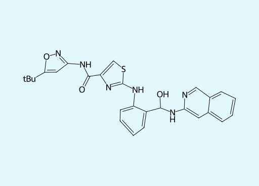 CC(C)(C)c1cc(NC(=O)c2csc(Nc3ccccc3C(O)Nc3cc4ccccc4cn3)n2)no1